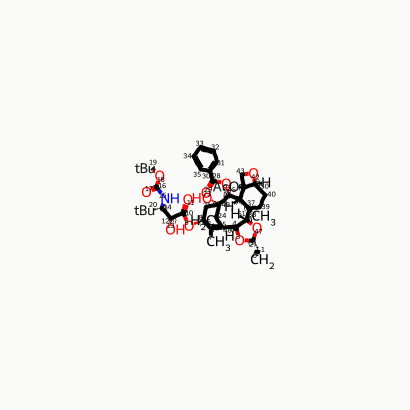 C=C[C@@H]1O[C@@H]2C3=C(C)[C@@H](OC(=O)[C@H](O)[C@@H](NC(=O)OC(C)(C)C)C(C)(C)C)C[C@](O)(C3=C)[C@@H](OC(=O)c3ccccc3)[C@H]3[C@@](C)(CC[C@H]4OC[C@]43OC(C)=O)[C@@H]2O1